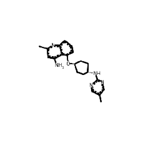 Cc1cnc(N[C@H]2CC[C@H](Oc3cccc4nc(C)cc(N)c34)CC2)nc1